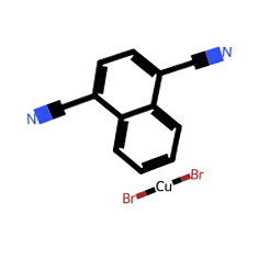 N#Cc1ccc(C#N)c2ccccc12.[Br][Cu][Br]